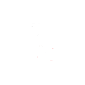 OP(O)(O)=[SH]Oc1ccccc1